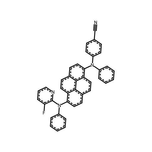 N#Cc1ccc(N(c2ccccc2)c2ccc3ccc4c(N(c5ccccc5)c5ncccc5F)ccc5ccc2c3c54)cc1